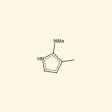 CNc1[nH]ccc1C